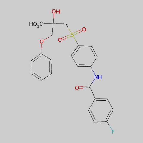 O=C(Nc1ccc(S(=O)(=O)CC(O)(COc2ccccc2)C(=O)O)cc1)c1ccc(F)cc1